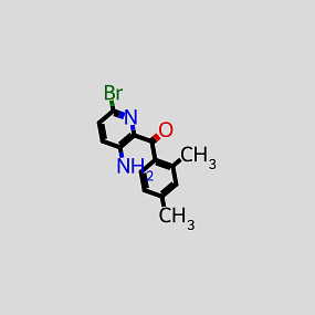 Cc1ccc(C(=O)c2nc(Br)ccc2N)c(C)c1